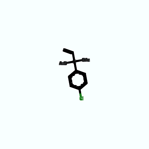 C=C[Si](OC(C)=O)(OC(C)=O)c1ccc(Cl)cc1